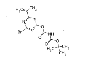 C=C(C)c1cc(OC(=O)NC(=O)OC(C)(C)C)cc(Br)n1